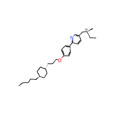 CCCCC[C@H]1CC[C@H](CCCOc2ccc(-c3ccc(C[C@@H](C)CC)cn3)cc2)CC1